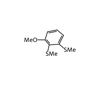 COc1cccc(SC)c1SC